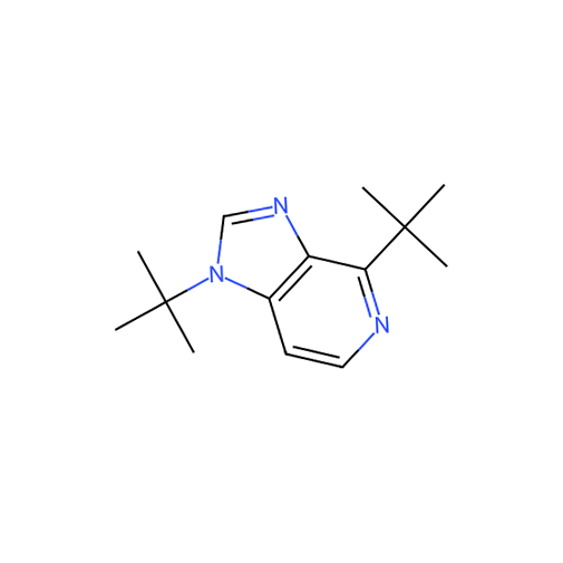 CC(C)(C)c1nccc2c1ncn2C(C)(C)C